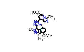 CCn1nc(C)c(F)c1-c1nnc(-c2cc(C(=O)O)cn3c(C)ncc23)n1Cc1ccc(OC)cc1